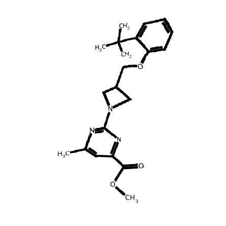 COC(=O)c1cc(C)nc(N2CC(COc3ccccc3C(C)(C)C)C2)n1